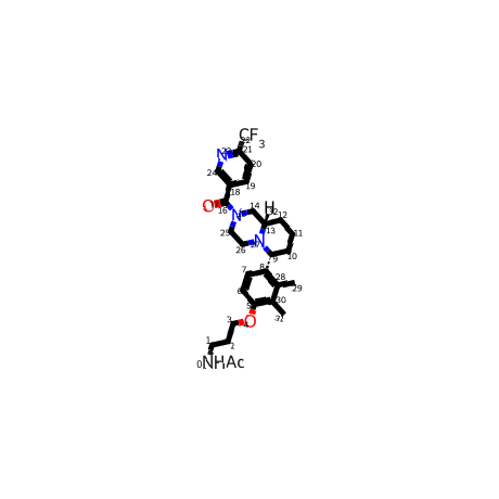 CC(=O)NCCCOc1ccc([C@H]2CCC[C@H]3CN(C(=O)c4ccc(C(F)(F)F)nc4)CCN32)c(C)c1C